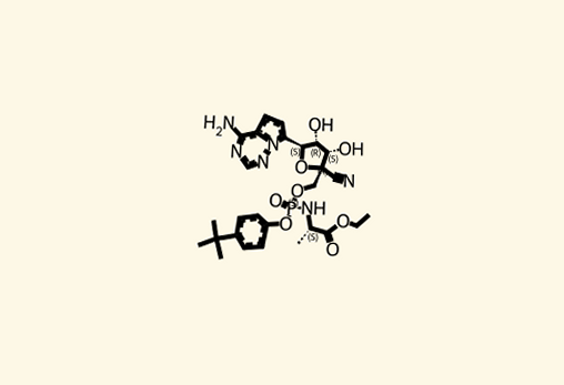 CCOC(=O)[C@H](C)N[P@](=O)(OC[C@@]1(C#N)O[C@@H](c2ccc3c(N)ncnn23)[C@H](O)[C@@H]1O)Oc1ccc(C(C)(C)C)cc1